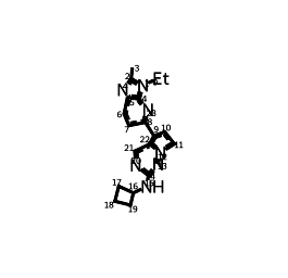 CCn1c(C)nc2ccc(-c3ccn4nc(NC5CCC5)ncc34)nc21